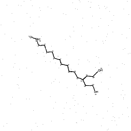 [O-][NH2+]CCCCCCCCCCCC(CCO)CCO